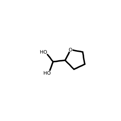 OC(O)C1CCCO1